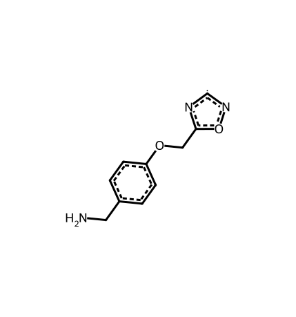 NCc1ccc(OCc2n[c]no2)cc1